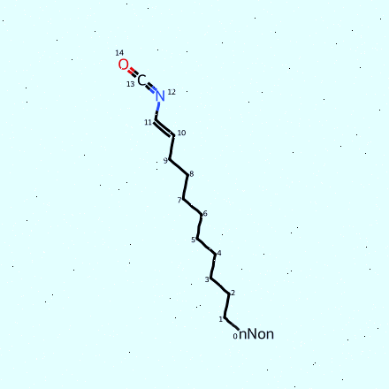 CCCCCCCCCCCCCCCCCCC=CN=C=O